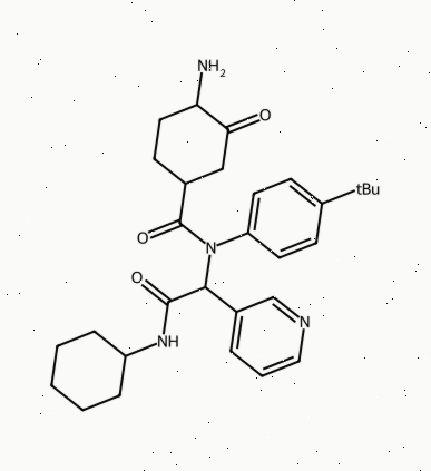 CC(C)(C)c1ccc(N(C(=O)C2CCC(N)C(=O)C2)C(C(=O)NC2CCCCC2)c2cccnc2)cc1